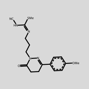 COc1ccc(C2=NN(CCCN=C(NC#N)SC)C(=O)CC2)cc1